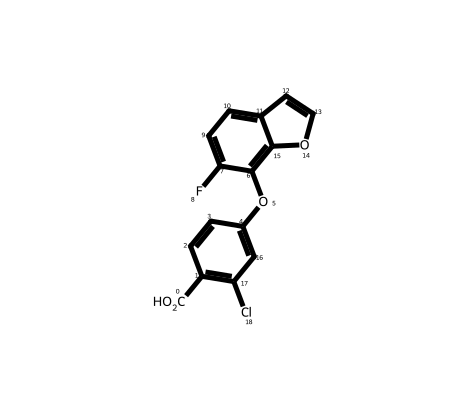 O=C(O)c1ccc(Oc2c(F)ccc3ccoc23)cc1Cl